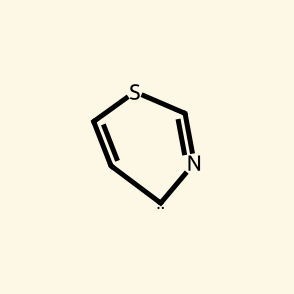 [C]1C=CSC=N1